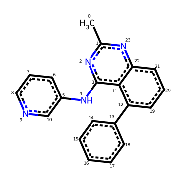 Cc1nc(Nc2cccnc2)c2c(-c3ccccc3)cccc2n1